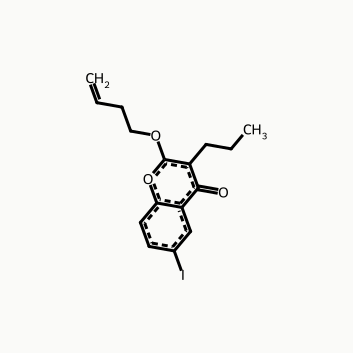 C=CCCOc1oc2ccc(I)cc2c(=O)c1CCC